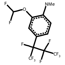 CNc1ccc(C(F)(C(F)(F)F)C(F)(F)C(F)(F)F)cc1OC(F)F